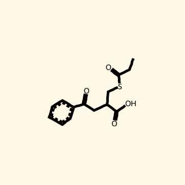 CCC(=O)SCC(CC(=O)c1ccccc1)C(=O)O